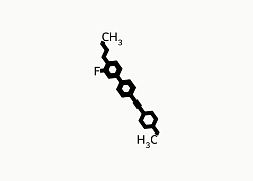 CCCCc1ccc(-c2ccc(C#CC3CCC(CC)CC3)cc2)cc1F